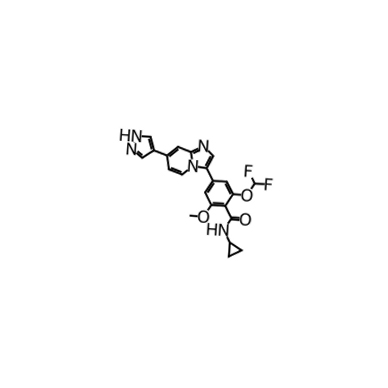 COc1cc(-c2cnc3cc(-c4cn[nH]c4)ccn23)cc(OC(F)F)c1C(=O)NC1CC1